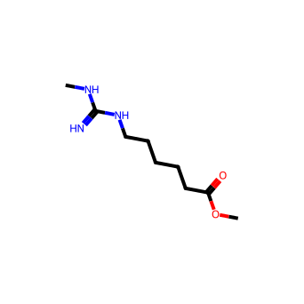 CNC(=N)NCCCCCC(=O)OC